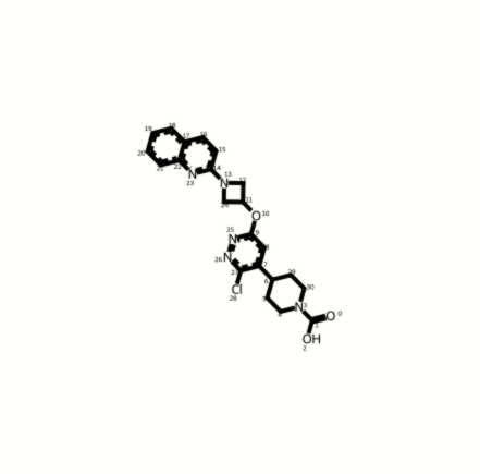 O=C(O)N1CCC(c2cc(OC3CN(c4ccc5ccccc5n4)C3)nnc2Cl)CC1